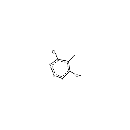 Cc1c(O)[c]nnc1Cl